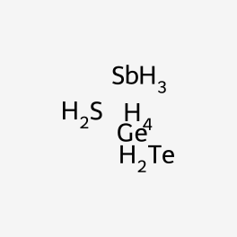 S.[GeH4].[SbH3].[TeH2]